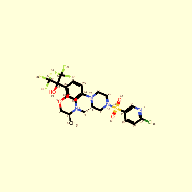 C[C@H]1COCCN1C[C@H]1CN(S(=O)(=O)c2ccc(Cl)nc2)CCN1c1ccc(C(O)(C(F)(F)F)C(F)(F)F)cc1